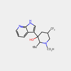 CC(C)(C)C1N(C(=O)O)CC(C(F)(F)F)CC1(O)c1c[nH]c2ncccc12